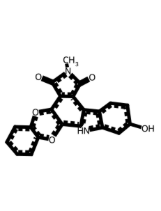 Cn1c(=O)c2c3oc4ccccc4oc3c3[nH]c4cc(O)ccc4c3c2c1=O